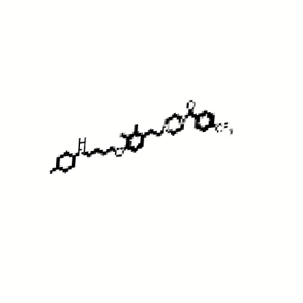 Cc1c(CCN2CCN(C(=O)c3ccc(C(F)(F)F)cc3)CC2)ccc(OCCCCNC2CCC(C)CC2)c1C